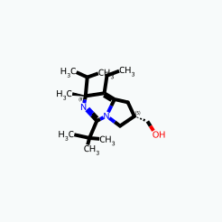 CCC1=C2C[C@H](CO)CN2C(C(C)(C)C)=N[C@]1(C)C(C)C